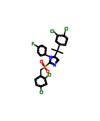 CC(C)(c1ccc(Cl)c(Cl)c1)c1cnc(S(=O)(=O)Cc2ccc(Cl)cc2Cl)n1-c1ccc(F)cc1